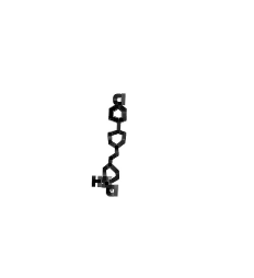 Clc1ccc(C2CCC(CCC3CC[SiH](Cl)CC3)CC2)cc1